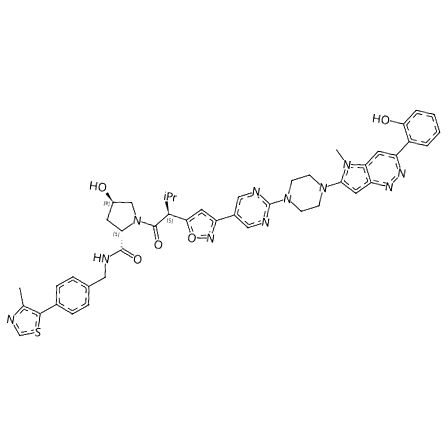 Cc1ncsc1-c1ccc(CNC(=O)[C@@H]2C[C@@H](O)CN2C(=O)[C@H](c2cc(-c3cnc(N4CCN(c5cc6nnc(-c7ccccc7O)cc6n5C)CC4)nc3)no2)C(C)C)cc1